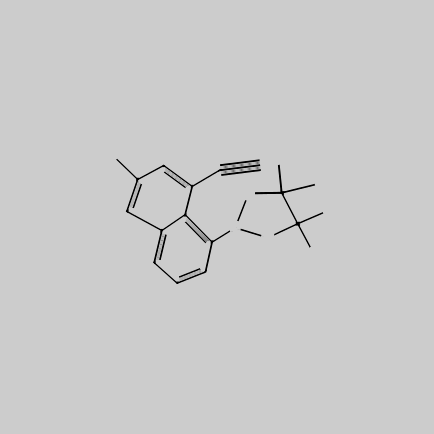 C#Cc1cc(F)cc2cccc(B3OC(C)(C)C(C)(C)O3)c12